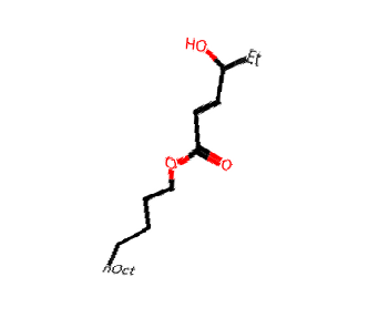 CCCCCCCCCCCCOC(=O)CCC(O)CC